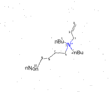 C=CC[N+](CCCC)(CCCC)CCCCCCCCCCCCC